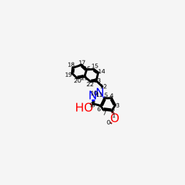 COc1ccc2c(c1)c(O)nn2Cc1ccc2ccccc2c1